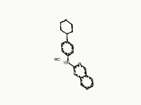 Cl.c1ccc2nc(Nc3ccc(C4CCCCC4)cc3)ncc2c1